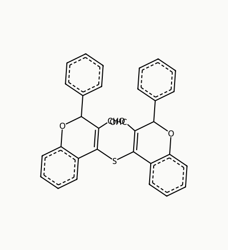 O=CC1=C(SC2=C(C=O)C(c3ccccc3)Oc3ccccc32)c2ccccc2OC1c1ccccc1